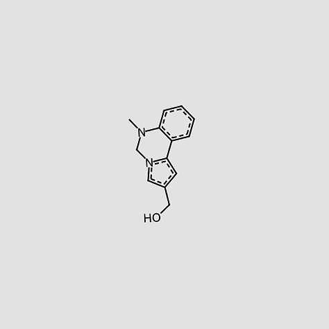 CN1Cn2cc(CO)cc2-c2ccccc21